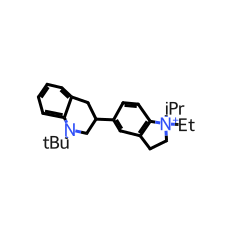 CC[N+]1(C(C)C)CCc2cc(C3Cc4ccccc4N(C(C)(C)C)C3)ccc21